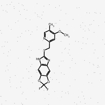 COc1cc(CSc2nc3cc4c(cc3[nH]2)OC(F)(F)O4)ncc1C